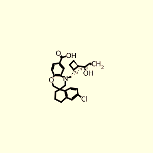 C=C[C@@H](O)[C@@H]1CC[C@H]1CN1CC2(CCCc3cc(Cl)ccc32)COc2ccc(C(=O)O)cc21